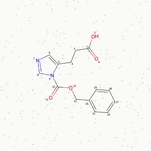 O=C(O)CCc1cncn1C(=O)OCc1ccccc1